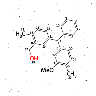 COc1cc(C(c2ccccc2)c2ccc(C)c(CO)c2)ccc1C